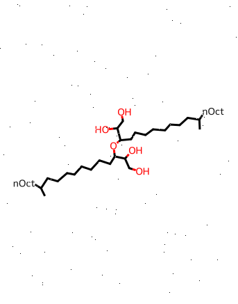 CCCCCCCCC(C)CCCCCCCCC(OC(CCCCCCCCC(C)CCCCCCCC)C(O)CO)C(O)CO